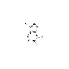 Cc1ccc2c(C)coc2c1C